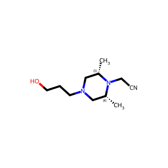 C[C@@H]1CN(CCCO)C[C@H](C)N1CC#N